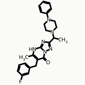 Cc1[nH]c2nc(C(C)N3CCN(c4ccccc4)CC3)nn2c(=O)c1Cc1cccc(F)c1